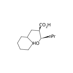 CCC[C@@H](O)[C@@H](CC1CCCCC1)C(=O)O